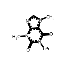 [CH2]CCn1c(=O)c2c(ncn2C)n(C)c1=O